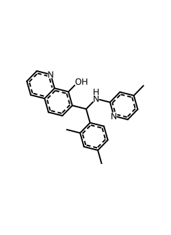 Cc1ccnc(NC(c2ccc(C)cc2C)c2ccc3cccnc3c2O)c1